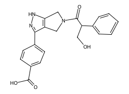 O=C(O)c1ccc(-c2n[nH]c3c2CN(C(=O)C(CO)c2ccccc2)C3)cc1